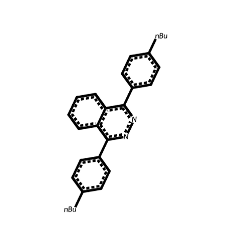 CCCCc1ccc(-c2nnc(-c3ccc(CCCC)cc3)c3ccccc23)cc1